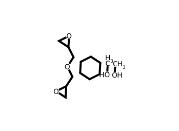 C(OCC1CO1)C1CO1.C1CCCCC1.CO.CO